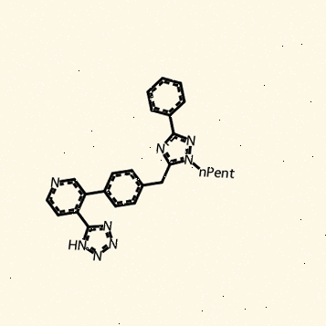 CCCCCn1nc(-c2ccccc2)nc1Cc1ccc(-c2cnccc2-c2nnn[nH]2)cc1